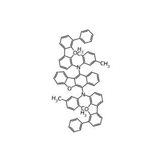 Cc1ccc(C)c(N(c2cccc3c2oc2c(-c4ccccc4)cccc23)c2c3ccccc3c(N(c3cc(C)ccc3C)c3cccc4c3oc3c(-c5ccccc5)cccc34)c3c2oc2ccccc23)c1